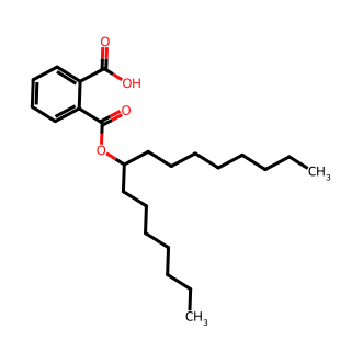 CCCCCCCCC(CCCCCCC)OC(=O)c1ccccc1C(=O)O